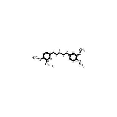 COc1ccc(CCNCCc2ccc(OC)c(OC)c2)cc1OC